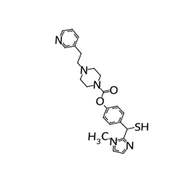 Cn1ccnc1C(S)c1ccc(OC(=O)N2CCN(CCc3cccnc3)CC2)cc1